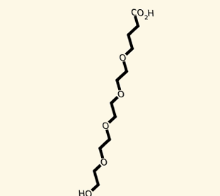 O=C(O)CCCOCCOCCOCCOCCO